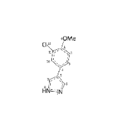 COc1ccc(-c2cn[nH]c2)cc1Cl